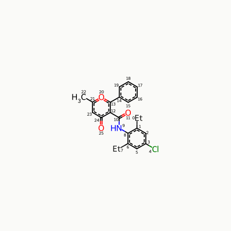 CCc1cc(Cl)cc(CC)c1NC(=O)c1c(-c2ccccc2)oc(C)cc1=O